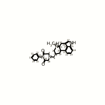 CN1C[C@H](CN2CC(=O)N(c3ccccc3)C(=O)C2)CC2c3cccc4[nH]cc(c34)C[C@H]21